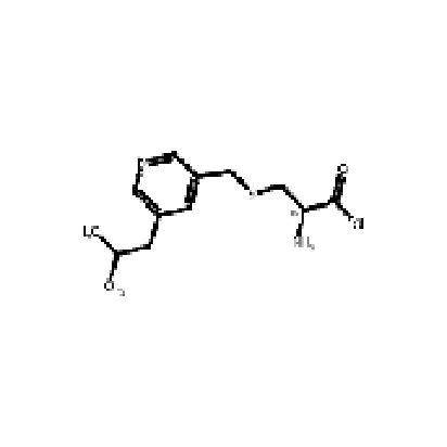 CC(C)Cc1cncc(CSC[C@H](N)C(=O)O)c1